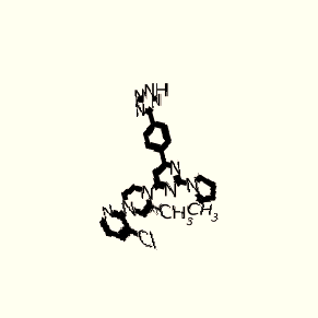 CC1CCCN1c1nc(-c2ccc(-c3nn[nH]n3)cc2)cc(N2CCN(c3ncccc3Cl)C[C@H]2C)n1